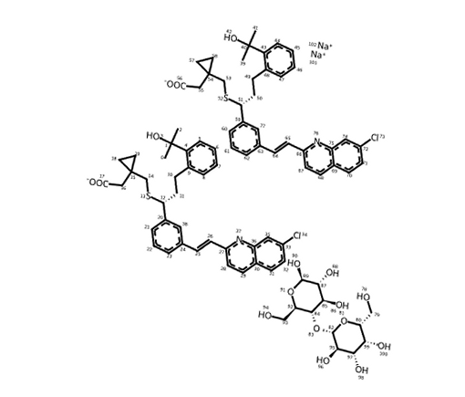 CC(C)(O)c1ccccc1CC[C@@H](SCC1(CC(=O)[O-])CC1)c1cccc(/C=C/c2ccc3ccc(Cl)cc3n2)c1.CC(C)(O)c1ccccc1CC[C@@H](SCC1(CC(=O)[O-])CC1)c1cccc(/C=C/c2ccc3ccc(Cl)cc3n2)c1.OC[C@H]1O[C@@H](O[C@H]2[C@H](O)[C@@H](O)[C@H](O)O[C@@H]2CO)[C@H](O)[C@@H](O)[C@H]1O.[Na+].[Na+]